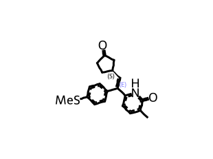 CSc1ccc(/C(=C\[C@H]2CCC(=O)C2)c2ccc(C)c(=O)[nH]2)cc1